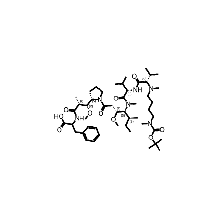 CC[C@H](C)[C@@H]([C@@H](CC(=O)N1CCC[C@H]1[C@H](OC)[C@@H](C)C(=O)NC(Cc1ccccc1)C(=O)O)OC)N(C)C(=O)[C@@H](NC(=O)[C@H](C(C)C)N(C)CCCCN(C)C(=O)OC(C)(C)C)C(C)C